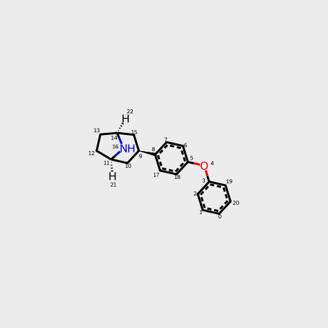 c1ccc(Oc2ccc([C@H]3C[C@H]4CC[C@@H](C3)N4)cc2)cc1